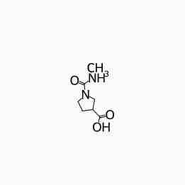 CNC(=O)N1CCC(C(=O)O)C1